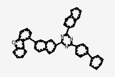 c1ccc(-c2ccc(-c3nc(-c4ccc5ccccc5c4)nc(-c4ccc5ccc(-c6cccc7oc8ccccc8c67)cc5c4)n3)cc2)cc1